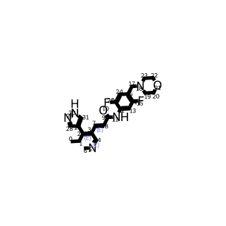 CC/C(=C(\C=N/C)/C=C/C(=O)Nc1cc(F)c(CN2CCOCC2)cc1F)c1cn[nH]c1